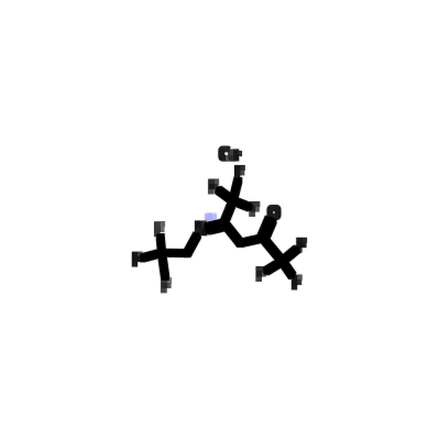 O=C(C/C(=N\CC(F)(F)F)C(F)(F)F)C(F)(F)F.[Cu]